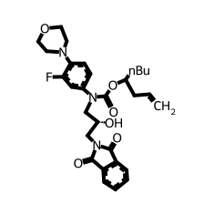 C=CCC(CCCC)OC(=O)N(C[C@H](O)CN1C(=O)c2ccccc2C1=O)c1ccc(N2CCOCC2)c(F)c1